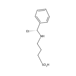 CC[C@@H](NCCCS(=O)(=O)O)c1ccccc1